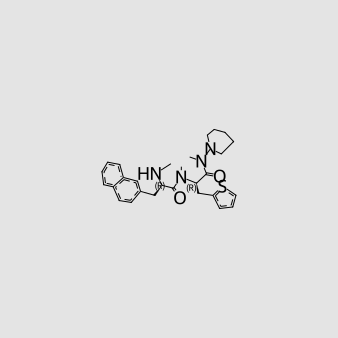 CN[C@H](Cc1ccc2ccccc2c1)C(=O)N(C)[C@H](Cc1cccs1)C(=O)N(C)N1CCCCC1